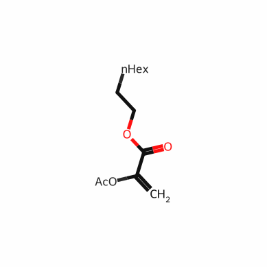 C=C(OC(C)=O)C(=O)OCCCCCCCC